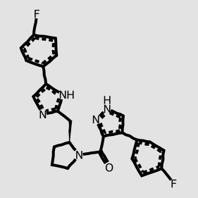 O=C(c1n[nH]cc1-c1ccc(F)cc1)N1CCC[C@H]1Cc1ncc(-c2ccc(F)cc2)[nH]1